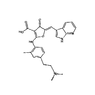 Cc1cc(CCN(C)C)ccc1NC1=C(C(=O)O)C(=O)C(=Cc2c[nH]c3ncccc23)O1